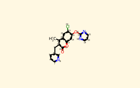 Cc1c(Cc2cccnc2)c(=O)oc2cc(Oc3ncccn3)c(Cl)cc12